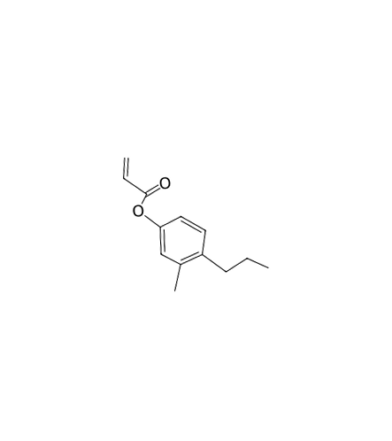 C=CC(=O)Oc1ccc(CCC)c(C)c1